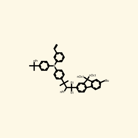 C=Cc1cccc(N(c2ccc(C(C)(C)CCC)cc2)c2ccc(C(C)(C)C(CCC)C(CC)(CC)c3ccc4c(c3)C(CCCCCCCC)(CCCCCCCC)c3cc(C(C)CC)ccc3-4)cc2)c1